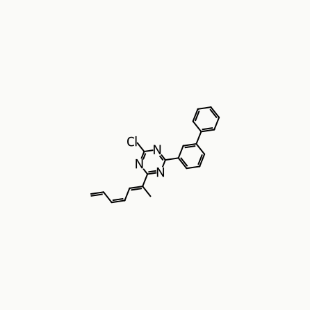 C=C/C=C\C=C(/C)c1nc(Cl)nc(-c2cccc(-c3ccccc3)c2)n1